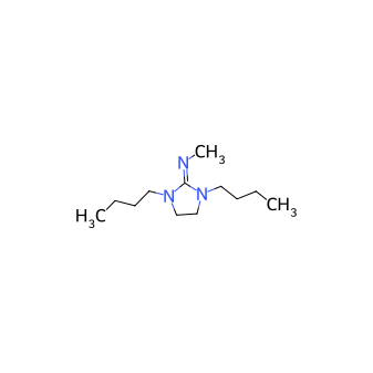 CCCCN1CCN(CCCC)C1=NC